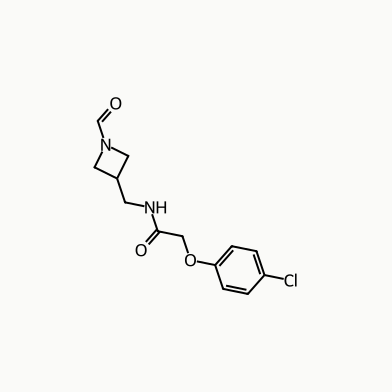 O=CN1CC(CNC(=O)COc2ccc(Cl)cc2)C1